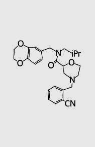 CC(C)CN(Cc1ccc2c(c1)OCCO2)C(=O)C1CN(Cc2ccccc2C#N)CCO1